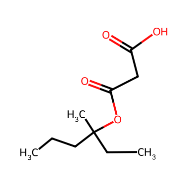 CCCC(C)(CC)OC(=O)CC(=O)O